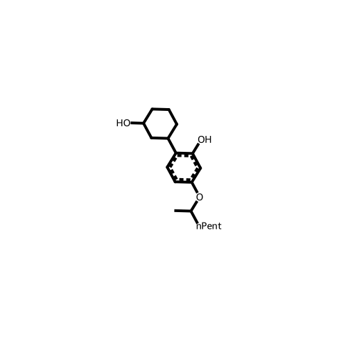 CCCCCC(C)Oc1ccc(C2CCCC(O)C2)c(O)c1